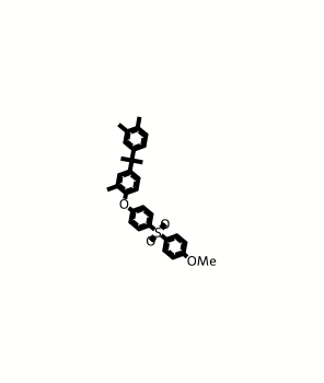 COc1ccc(S(=O)(=O)c2ccc(Oc3ccc(C(C)(C)c4ccc(C)c(C)c4)cc3C)cc2)cc1